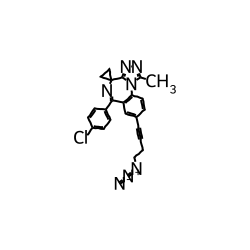 Cc1nnc2n1-c1ccc(C#CCCN=[N+]=[N-])cc1C(c1ccc(Cl)cc1)=NC21CC1